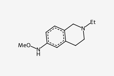 CCN1CCc2cc(NOC)ccc2C1